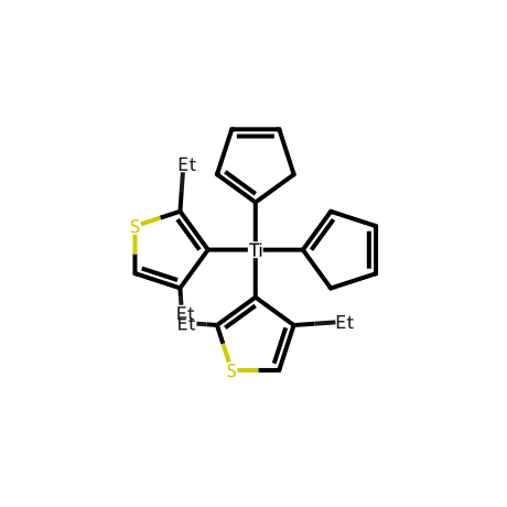 CCc1csc(CC)[c]1[Ti]([C]1=CC=CC1)([C]1=CC=CC1)[c]1c(CC)csc1CC